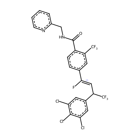 O=C(NCc1ccccn1)c1ccc(/C(F)=C/C(c2cc(Cl)c(Cl)c(Cl)c2)C(F)(F)F)cc1C(F)(F)F